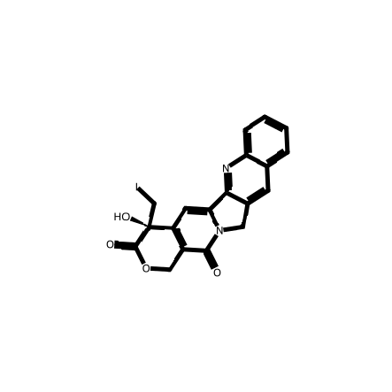 O=C1OCc2c(cc3n(c2=O)Cc2cc4ccccc4nc2-3)[C@@]1(O)CI